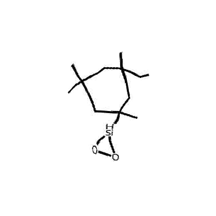 CC1(C)CC(C)(C)CC(C)([SiH]2OO2)C1